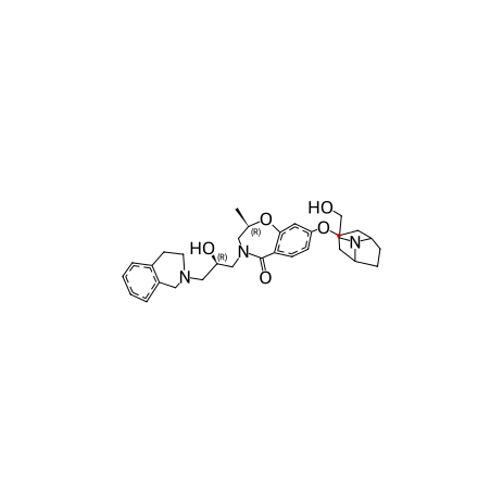 C[C@@H]1CN(C[C@H](O)CN2CCc3ccccc3C2)C(=O)c2ccc(OC3CC4CCC(C3)N4CCO)cc2O1